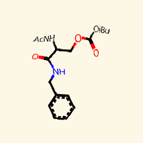 CC(=O)NC(COC(=O)OCC(C)C)C(=O)NCc1ccccc1